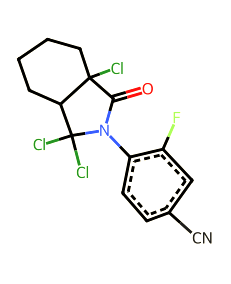 N#Cc1ccc(N2C(=O)C3(Cl)CCCCC3C2(Cl)Cl)c(F)c1